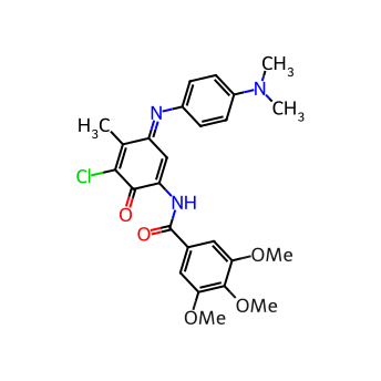 COc1cc(C(=O)NC2=C/C(=N\c3ccc(N(C)C)cc3)C(C)=C(Cl)C2=O)cc(OC)c1OC